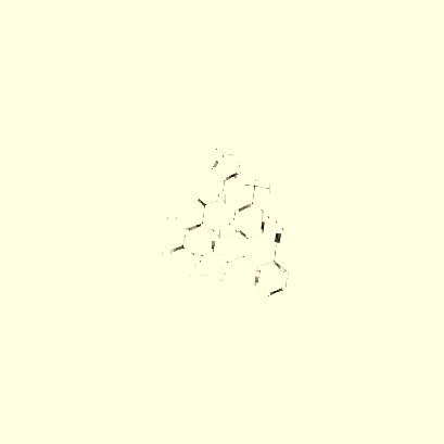 C[C@H](c1nc(C(=O)Nc2cnoc2)c(O)c(=O)n1C)[C@H](c1cnc(C(F)(F)F)cn1)c1ccccc1C#N